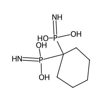 N=P(O)(O)C1(P(=N)(O)O)CCCCC1